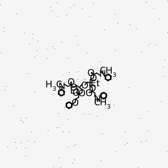 CCC(COCC(CC)(COC(=O)CCN(C)c1ccccc1)COC(=O)CCN(C)c1ccccc1)(COC(=O)CCOc1ccccc1)COC(=O)CCN(C)c1ccccc1